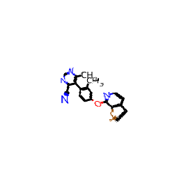 Cc1cc(Oc2nccc3ccsc23)ccc1-c1c(C)ncnc1C#N